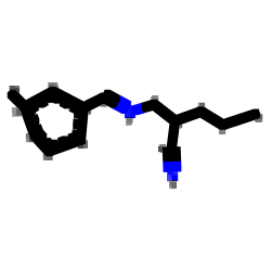 CCCC(C#N)CN=Cc1cccc(C)c1